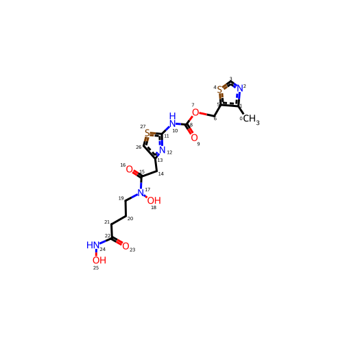 Cc1ncsc1COC(=O)Nc1nc(CC(=O)N(O)CCCC(=O)NO)cs1